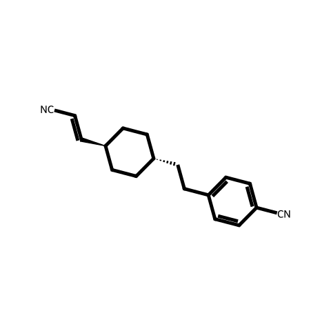 N#C/C=C/[C@H]1CC[C@H](CCc2ccc(C#N)cc2)CC1